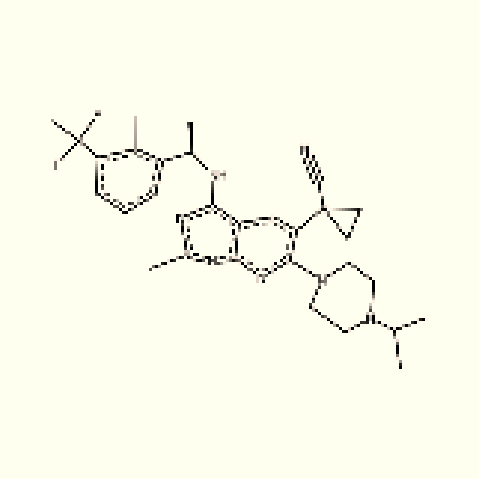 Cc1nc(N[C@H](C)c2cccc(C(C)(F)F)c2C)c2cc(C3(C#N)CC3)c(N3CCN(C(C)C)CC3)nc2n1